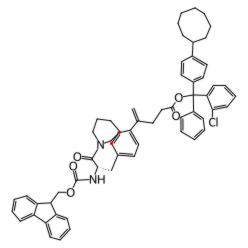 C=C(CCC(=O)OC(c1ccccc1)(c1ccc(C2CCCCCCC2)cc1)c1ccccc1Cl)c1ccc(C[C@H](NC(=O)OCC2c3ccccc3-c3ccccc32)C(=O)N2CCCCC2)cc1